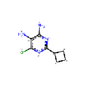 Nc1nc(C2CCC2)nc(Cl)c1N